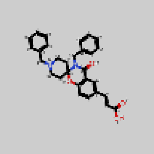 O=C(O)C=Cc1ccc2c(c1)C(=O)N(Cc1ccccc1)C1(CCN(Cc3ccccc3)CC1)O2